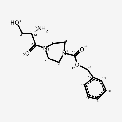 N[C@@H](CO)C(=O)N1CCN(C(=O)OCc2ccccc2)CC1